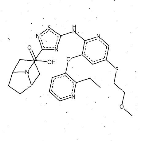 CCc1ncccc1Oc1cc(SCCOC)cnc1Nc1nc(C2CC3CCC(C2)N3C(=O)O)ns1